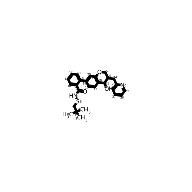 CC(C)(C)CSNC(=O)c1ccccc1-c1ccc2c(c1)OCC(Cc1ccccn1)C2O